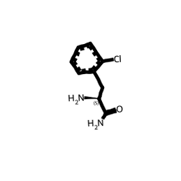 NC(=O)[C@@H](N)Cc1ccccc1Cl